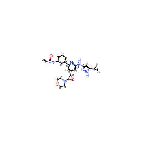 C=CC(=O)Nc1cccc(-c2cc(C3OC3N3CCOCC3)cc(Nc3cc(C4CC4)[nH]n3)n2)c1